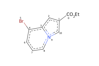 CCOC(=O)c1cc2c(Br)cccn2c1